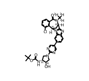 [2H]C([2H])([2H])N1C(=O)c2cccc(Cl)c2[C@H]2C[C@@H]1c1nc3ccc(-c4cnc(N5C[C@@H](O)[C@H](NC(=O)OC(C)(C)C)C5)nc4)cc3n12